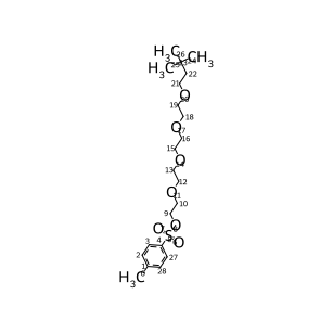 Cc1ccc(S(=O)(=O)OCCOCCOCCOCCOCCC(C)(C)C)cc1